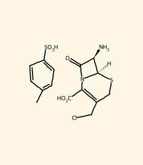 Cc1ccc(S(=O)(=O)O)cc1.N[C@@H]1C(=O)N2C(C(=O)O)=C(CCl)CS[C@H]12